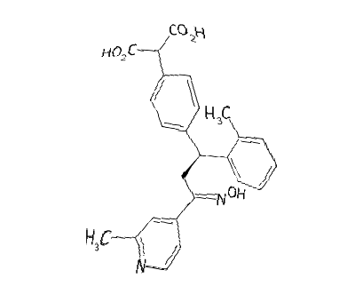 Cc1cc(/C(C[C@@H](c2ccc(C(C(=O)O)C(=O)O)cc2)c2ccccc2C)=N/O)ccn1